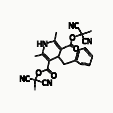 CC1=C(C(=O)OC(C)(C#N)C#N)C(Cc2ccccc2)C(C(=O)OC(C)(C#N)C#N)=C(C)N1